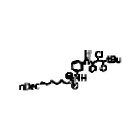 CCCCCCCCCCCCCCCCS(=O)(=O)Nc1cccc(NC(=O)C(Cl)C(=O)C(C)(C)C)c1